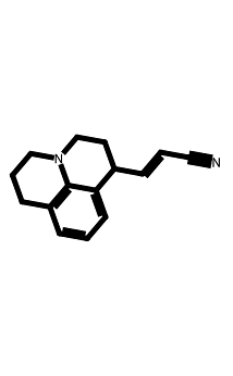 N#CC=CC1CCN2CCCc3cccc1c32